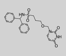 O=c1ccn(COCCCS(=O)(=O)NC(c2ccccc2)c2ccccc2)c(=O)[nH]1